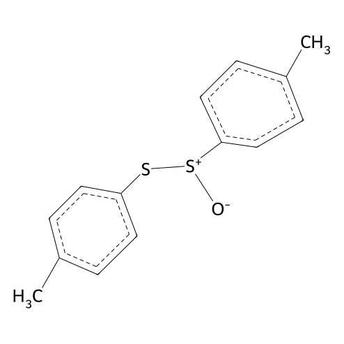 Cc1ccc(S[S+]([O-])c2ccc(C)cc2)cc1